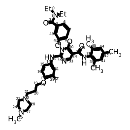 CCN(CC)C(=O)c1ccc(Oc2nc(Nc3ccc(OCCCN4CCN(C)CC4)c(F)c3)ncc2C(=O)Nc2c(C)cc(C)cc2C)c(Cl)c1